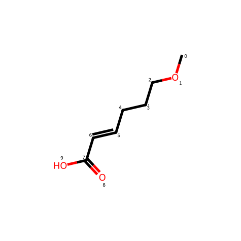 COC[CH]CC=CC(=O)O